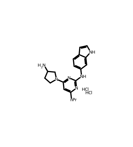 CCCc1cc(N2CCC(N)C2)nc(Nc2ccc3cc[nH]c3c2)n1.Cl.Cl